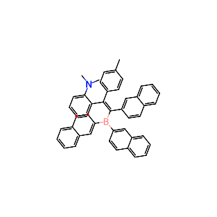 Cc1ccc(/C(=C(/B(c2ccc3ccccc3c2)c2ccc3ccccc3c2)c2ccc3ccccc3c2)c2ccccc2N(C)C)cc1